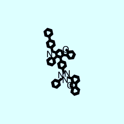 c1ccc(-c2ccc(-c3nc4ccccc4c4c(-c5ccc(-c6nc(-c7ccccc7)nc(-c7cccc8c7oc7ccccc78)n6)cc5)c5c(cc34)oc3ccccc35)cc2)cc1